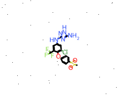 CS(=O)(=O)c1ccc(Oc2c(Cl)cc(Nc3n[nH]c(N)n3)cc2C(F)(F)F)cc1